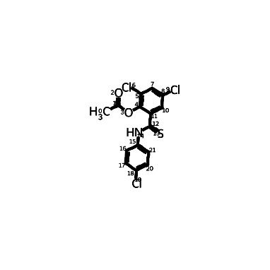 CC(=O)Oc1c(Cl)cc(Cl)cc1C(=S)Nc1ccc(Cl)cc1